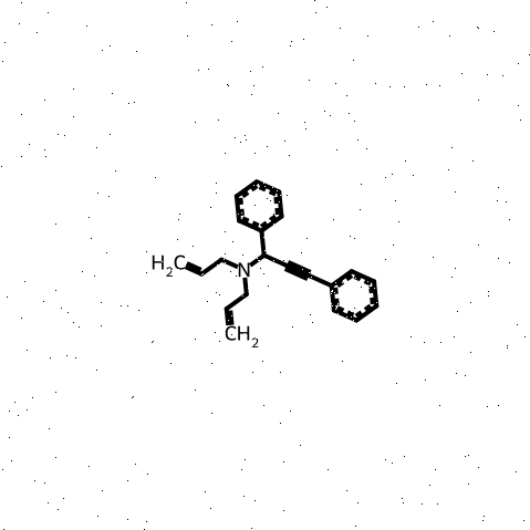 C=CCN(CC=C)C(C#Cc1ccccc1)c1ccccc1